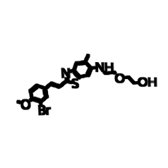 COc1ccc(C=Cc2nc3cc(C)c(NCCOCCO)cc3s2)cc1Br